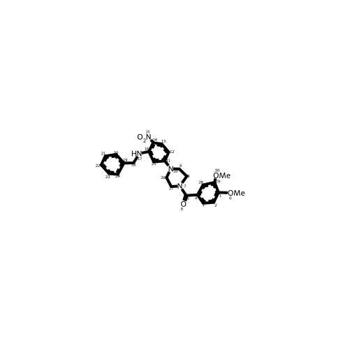 COc1ccc(C(=O)N2CCN(c3ccc([N+](=O)[O-])c(NCc4ccccc4)c3)CC2)cc1OC